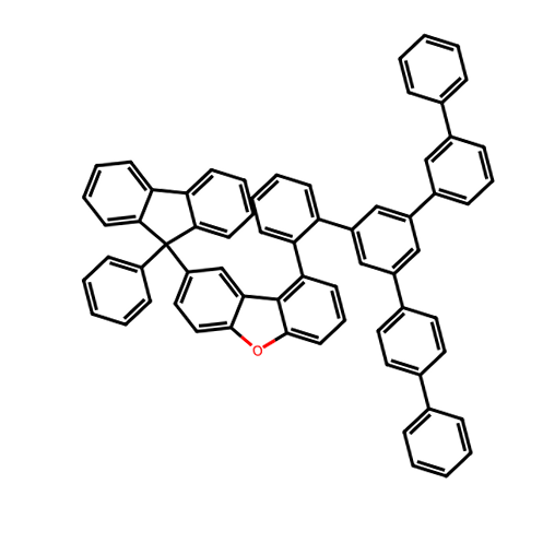 c1ccc(-c2ccc(-c3cc(-c4cccc(-c5ccccc5)c4)cc(-c4ccccc4-c4cccc5oc6ccc(C7(c8ccccc8)c8ccccc8-c8ccccc87)cc6c45)c3)cc2)cc1